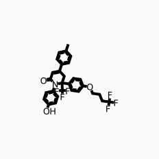 Cc1ccc(C2=CC(=O)N(c3ccc(O)cc3)C(c3ccc(OCCCC(F)(F)F)cc3)(C(F)(F)F)C2)cc1